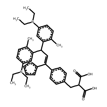 CCN(CC)c1ccc(C)c(C(C=C(c2ccc(CC(C(=O)O)C(=O)O)cc2)c2cccs2)c2cc(N(CC)CC)ccc2C)c1